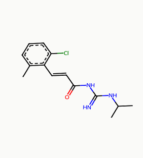 Cc1cccc(Cl)c1C=CC(=O)NC(=N)NC(C)C